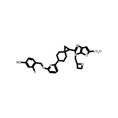 N#Cc1ccc(COc2cccc(C3CCC4(CC3)CC4c3nc4cc(C(=O)O)oc4n3CC3CCO3)n2)c(F)c1